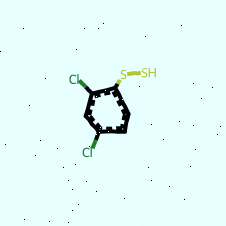 SSc1ccc(Cl)cc1Cl